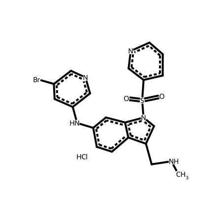 CNCc1cn(S(=O)(=O)c2cccnc2)c2cc(Nc3cncc(Br)c3)ccc12.Cl